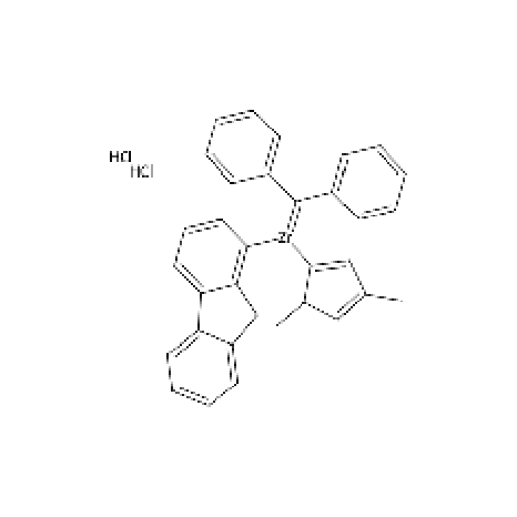 CC1=CC(C)[C]([Zr](=[C](c2ccccc2)c2ccccc2)[c]2cccc3c2Cc2ccccc2-3)=C1.Cl.Cl